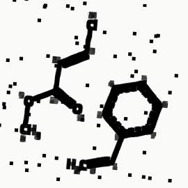 C=Cc1ccccc1.COC(=O)C=CCl